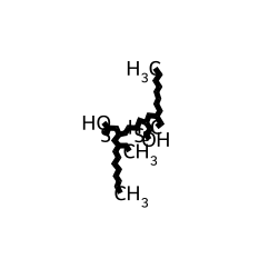 CCCCCCCCC(CC)CC(CCCCC(CC(O)=S)CC(CC)CCCCCCCC)CC(O)=S